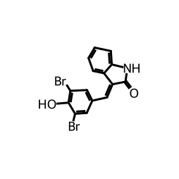 O=C1Nc2ccccc2/C1=C\c1cc(Br)c(O)c(Br)c1